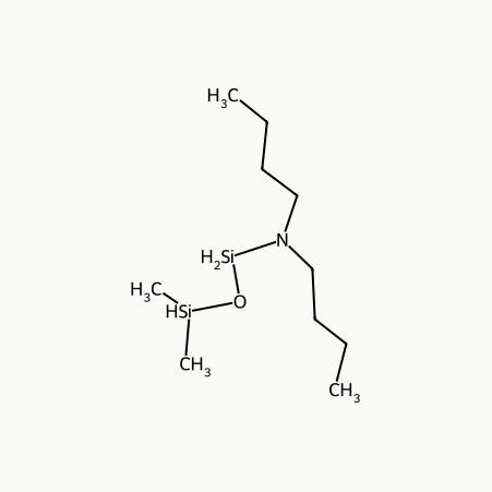 CCCCN(CCCC)[SiH2]O[SiH](C)C